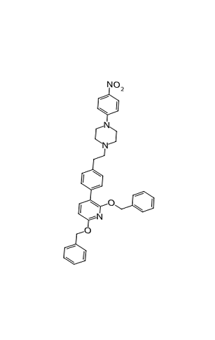 O=[N+]([O-])c1ccc(N2CCN(CCc3ccc(-c4ccc(OCc5ccccc5)nc4OCc4ccccc4)cc3)CC2)cc1